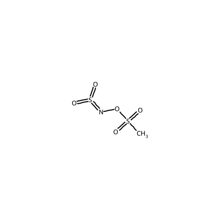 CS(=O)(=O)ON=S(=O)=O